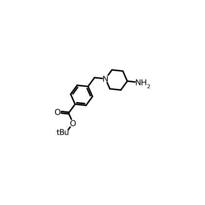 CC(C)(C)OC(=O)c1ccc(CN2CCC(N)CC2)cc1